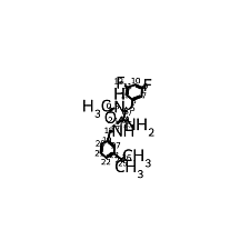 CC(=O)N[C@@H](Cc1cc(F)cc(F)c1)[C@@H](N)CNCc1cccc(C(C)C)c1